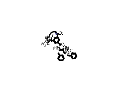 CC/C1=C/CCCS(=O)(=O)N(C)c2cc(C(=O)N[C@@H](Cc3ccccc3)[C@H](O)CNCc3ccccc3C)cc1c2C